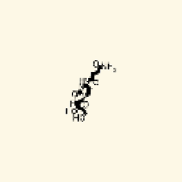 NC(=O)CCC(=O)Nc1ccn(C2OC(CO)C(O)C2(F)F)c(=O)n1